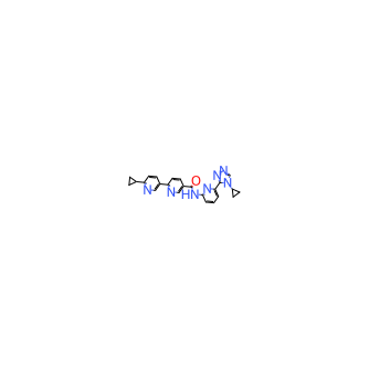 O=C(Nc1cccc(-c2nncn2C2CC2)n1)c1ccc(-c2ccc(C3CC3)nc2)nc1